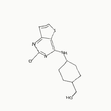 OCC1CCC(Nc2nc(Cl)nc3ccsc23)CC1